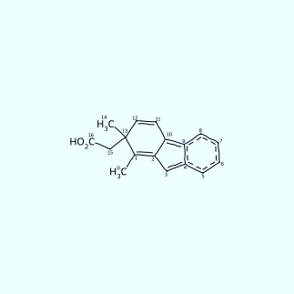 CC1=C2C=c3ccccc3=C2C=CC1(C)CC(=O)O